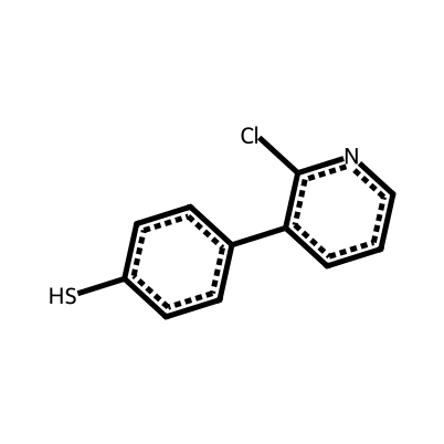 Sc1ccc(-c2cccnc2Cl)cc1